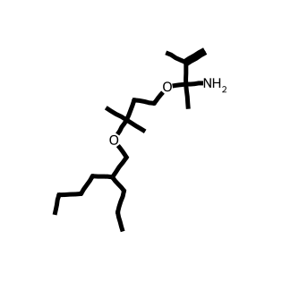 C=C(C)C(C)(N)OCCC(C)(C)OCC(CCC)CCCC